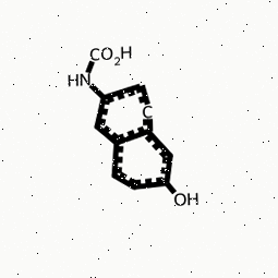 O=C(O)Nc1ccc2cc(O)ccc2c1